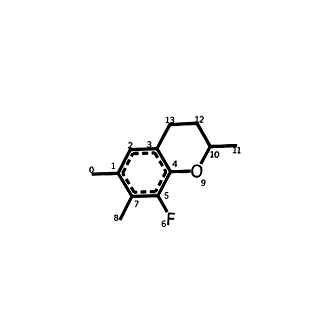 Cc1cc2c(c(F)c1C)OC(C)CC2